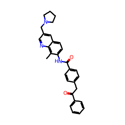 Cc1c(NC(=O)c2ccc(CC(=O)c3ccccc3)cc2)ccc2cc(CN3CCCC3)cnc12